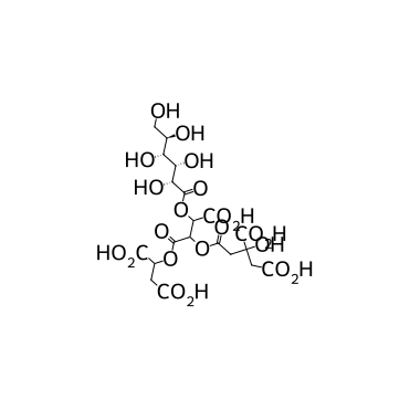 O=C(O)CC(OC(=O)C(OC(=O)CC(O)(CC(=O)O)C(=O)O)C(OC(=O)[C@H](O)[C@@H](O)[C@H](O)[C@H](O)CO)C(=O)O)C(=O)O